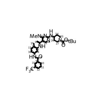 C=C(Nc1cc(NC(=O)c2cccc(C(F)(F)F)c2)ccc1C)c1cnc(NC2CCN(C(=O)OC(C)(C)C)CC2)nc1NC